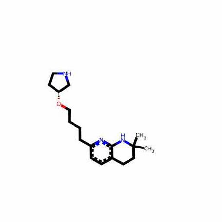 CC1(C)CCc2ccc(CCCCO[C@@H]3CCNC3)nc2N1